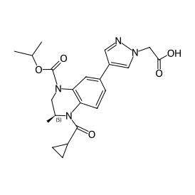 CC(C)OC(=O)N1C[C@H](C)N(C(=O)C2CC2)c2ccc(-c3cnn(CC(=O)O)c3)cc21